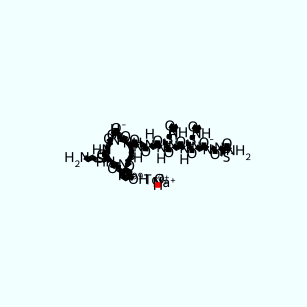 CC(=O)NCSCC(NC(=O)CNC(=O)CNC(=O)C1CSCC(=O)NC(Cc2ccc(O)cc2)C(=O)NC(CSCCCN)C(=O)NCC(=O)NC(CC(=O)[O-])C(=O)N1)C(=O)NCC(=O)NC(CSCNC(C)=O)C([O-])=NCC([O-])=NCC([O-])=NC(C[S-])C(N)=O.[H+].[Na+].[O]=[99Tc+3]